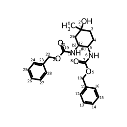 CC1(O)CC[C@@H](NC(=O)OCc2ccccc2)[C@@H](NC(=O)OCc2ccccc2)C1